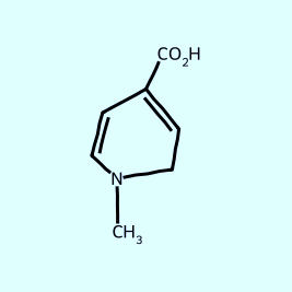 CN1C=CC(C(=O)O)=CC1